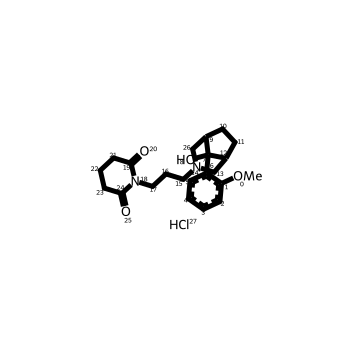 COc1ccccc1C1(O)C2CCC1CN(CCCN1C(=O)CCCC1=O)C2.Cl